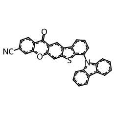 N#Cc1ccc2c(=O)c3cc4c(cc3oc2c1)sc1c(-n2c3ccccc3c3ccccc32)cccc14